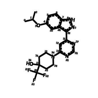 CC(C)Oc1ccc2[nH]nc(-c3cc(N4CCC(O)(C(F)(F)F)CC4)ncn3)c2c1